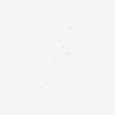 CC(NC(=O)c1ncnc(NCCN2CCOCC2)c1Cl)c1ncc(C(=O)Nc2ccc(Cl)c(C(F)(F)F)c2)s1